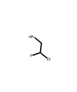 CCCCC(F)CC